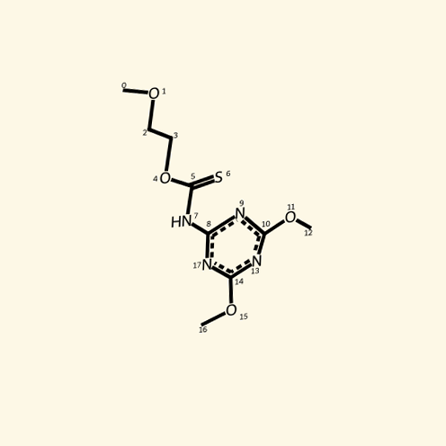 COCCOC(=S)Nc1nc(OC)nc(OC)n1